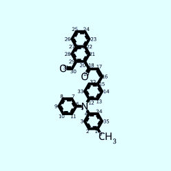 Cc1ccc(N(c2ccccc2)c2ccc(/C=C\C(=O)c3cc4ccccc4cc3C=O)cc2)cc1